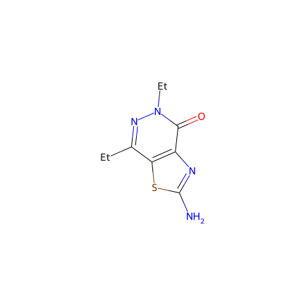 CCc1nn(CC)c(=O)c2nc(N)sc12